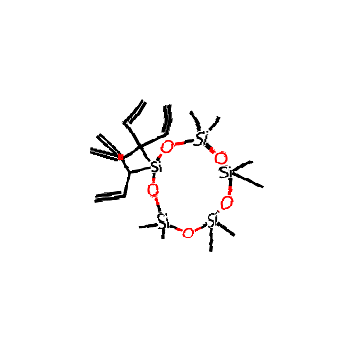 C=CC(C=C)[Si]1(C(C=C)(C=C)C=C)O[Si](C)(C)O[Si](C)(C)O[Si](C)(C)O[Si](C)(C)O1